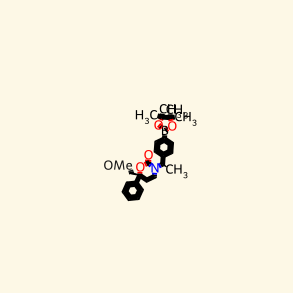 COC[C@]1(c2ccccc2)CCN([C@@H](C)c2ccc(B3OC(C)(C)C(C)(C)O3)cc2)C(=O)O1